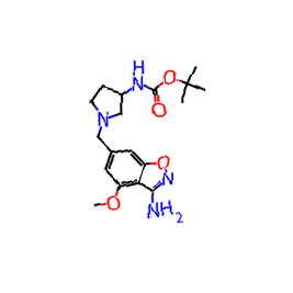 COc1cc(CN2CCC(NC(=O)OC(C)(C)C)C2)cc2onc(N)c12